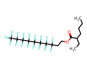 CCCCC(CC)C(=O)OCCC(F)(F)C(F)(F)C(F)(F)C(F)(F)C(F)(F)C(F)(F)C(F)(F)C(F)(F)F